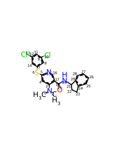 CN(C)c1cc(Sc2cc(Cl)cc(Cl)c2)ncc1C(=O)NC1CCc2ccccc21